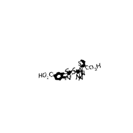 O=C(O)c1ccc2nc(Sc3nnnn3-c3sccc3C(=O)O)sc2c1